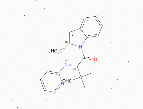 CC(C)(C=O)[C@H](Nc1ccccn1)C(=O)N1c2ccccc2C[C@H]1C(=O)O